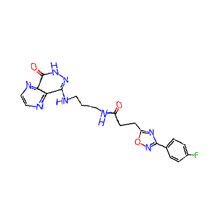 O=C(CCc1nc(-c2ccc(F)cc2)no1)NCCCNc1n[nH]c(=O)c2nccnc12